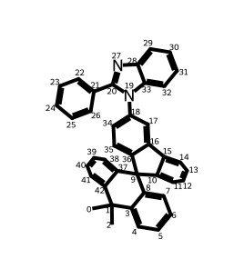 CC1(C)c2ccccc2C2(c3ccccc3-c3cc(-n4c(-c5ccccc5)nc5ccccc54)ccc32)c2ccccc21